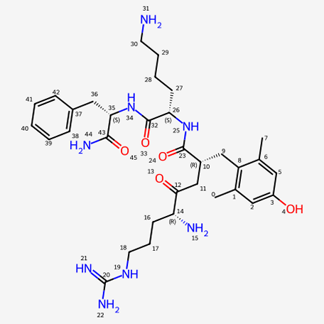 Cc1cc(O)cc(C)c1C[C@H](CC(=O)[C@H](N)CCCNC(=N)N)C(=O)N[C@@H](CCCCN)C(=O)N[C@@H](Cc1ccccc1)C(N)=O